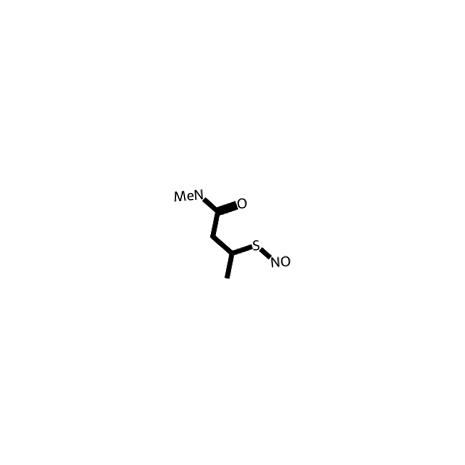 CNC(=O)CC(C)SN=O